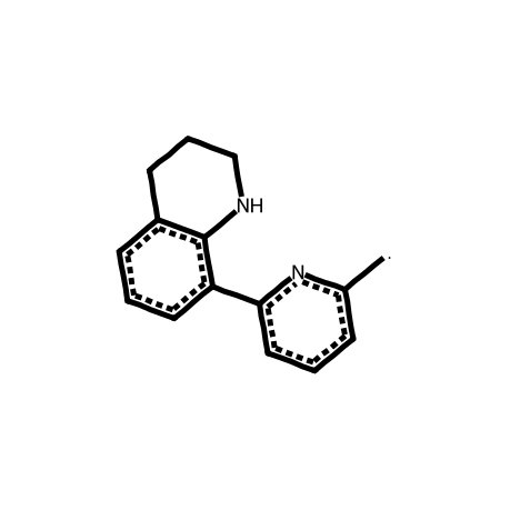 [CH2]c1cccc(-c2cccc3c2NCCC3)n1